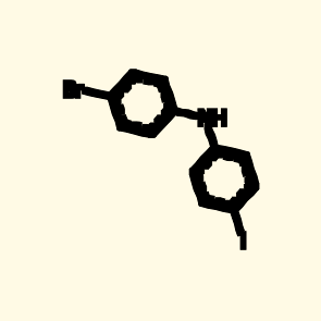 Brc1ccc(Nc2ccc(I)cc2)cc1